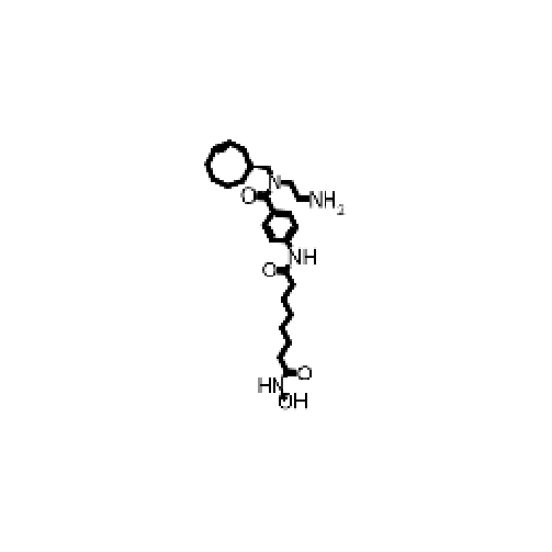 NCCN(C[C@@H]1C/C=C\CCCC1)C(=O)c1ccc(NC(=O)CCCCCCC(=O)NO)cc1